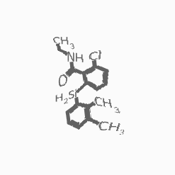 CCNC(=O)c1c(Cl)cccc1[SiH2]c1cccc(C)c1C